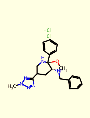 CO[C@]1(c2ccccc2)NCC(c2nnn(C)n2)C[C@H]1NCc1ccccc1.Cl.Cl